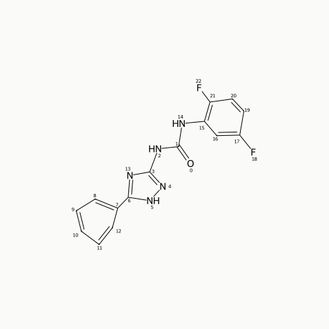 O=C(Nc1n[nH]c(-c2ccccc2)n1)Nc1cc(F)ccc1F